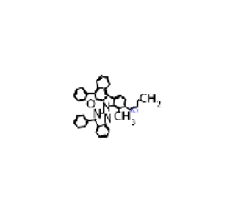 C=C/C=C\c1ccc2c3c4ccccc4c4c5ccccc5oc4c3n(-c3nc(-c4ccccc4)c4ccccc4n3)c2c1C